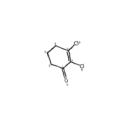 O=C1CCCC(Cl)=C1Cl